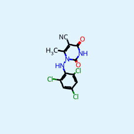 Cc1c(C#N)c(=O)[nH]c(=O)n1Nc1c(Cl)cc(Cl)cc1Cl